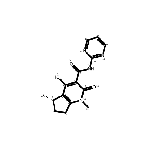 C[C@H]1CCc2c1c(O)c(C(=O)Nc1ncccn1)c(=O)n2C